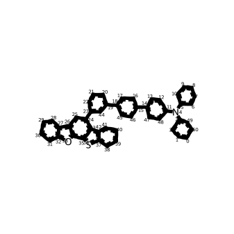 c1ccc(N(c2ccccc2)c2ccc(-c3ccc(-c4cccc(-c5cc6c7ccccc7oc6c6sc7ccccc7c56)c4)cc3)cc2)cc1